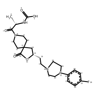 C[C@H](NC(=O)O)C(=O)N1CCC2(CC1)C[C@H](CCN1CCN(c3ccc(F)cc3)CC1)OC2=O